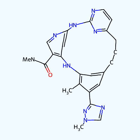 CNC(=O)c1cnc2cc1Nc1cc(cc(-c3ncn(C)n3)c1C)CCCc1ccnc(n1)N2